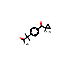 CCOC(=O)C1(C(=O)c2ccc(C(C)(C)C(=O)OC)cc2)CC1